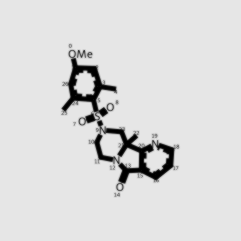 COc1cc(C)c(S(=O)(=O)N2CCN3C(=O)c4cccnc4C3(C)C2)c(C)c1